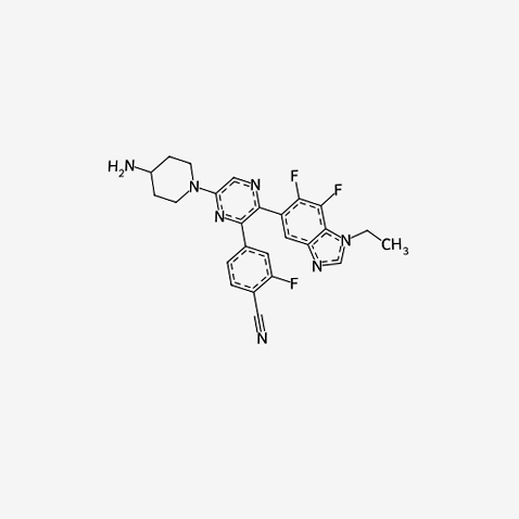 CCn1cnc2cc(-c3ncc(N4CCC(N)CC4)nc3-c3ccc(C#N)c(F)c3)c(F)c(F)c21